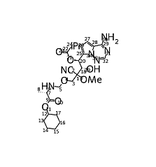 COC(C#N)(COCN[C@@H](C)C(=O)OC1CCCCC1)[C@@H](O)[C@@H](OC(=O)C(C)C)c1ccc2c(N)ncnn12